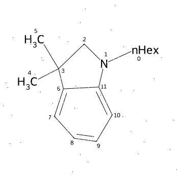 CCCCCCN1CC(C)(C)c2ccccc21